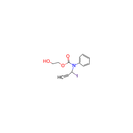 C#CC(I)N(C(=O)OCCO)c1ccccc1